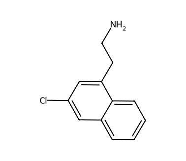 NCCc1cc(Cl)cc2ccccc12